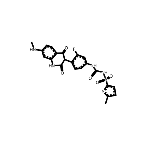 CNc1ccc2c(c1)NC(=O)C(c1ccc(NC(=O)NS(=O)(=O)c3ccc(C)s3)cc1F)C2=O